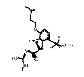 CNC(N)=NC(=O)c1cc2c(C(F)(F)F)ccc(OCCN(C)C)c2[nH]1.Cl.Cl